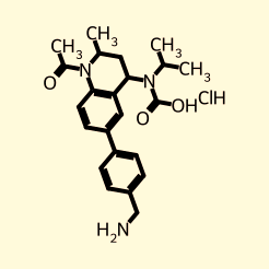 CC(=O)N1c2ccc(-c3ccc(CN)cc3)cc2C(N(C(=O)O)C(C)C)CC1C.Cl